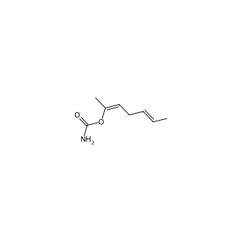 CC=CCC=C(C)OC(N)=O